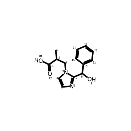 CC(Cn1ccnc1C(O)c1ccccc1)C(=O)O